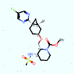 CC(C)OC(=O)N1CCC[C@H](NS(C)(=O)=O)[C@@H]1CO[C@H]1CC[C@@]2(c3ncc(F)cn3)C[C@H]2C1